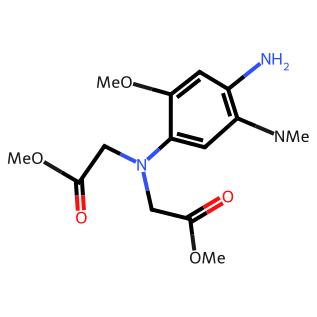 CNc1cc(N(CC(=O)OC)CC(=O)OC)c(OC)cc1N